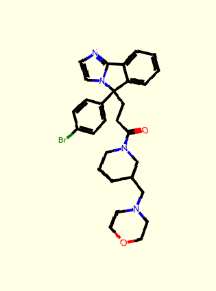 O=C(CCC1(c2ccc(Br)cc2)c2ccccc2-c2nccn21)N1CCCC(CN2CCOCC2)C1